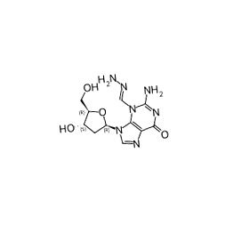 NN=Cn1c(N)nc(=O)c2ncn([C@H]3C[C@H](O)[C@@H](CO)O3)c21